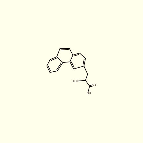 NC(Cc1ccc2ccc3ccccc3c2c1)C(=O)O